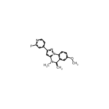 C=C1c2cc(OC)ccc2-n2nc(-c3ccnc(F)c3)cc2N1C